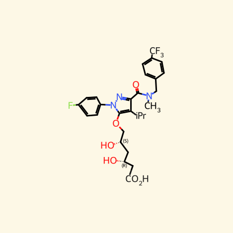 CC(C)c1c(C(=O)N(C)Cc2ccc(C(F)(F)F)cc2)nn(-c2ccc(F)cc2)c1OC[C@@H](O)C[C@@H](O)CC(=O)O